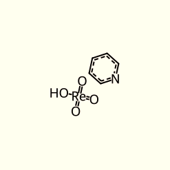 [O]=[Re](=[O])(=[O])[OH].c1ccncc1